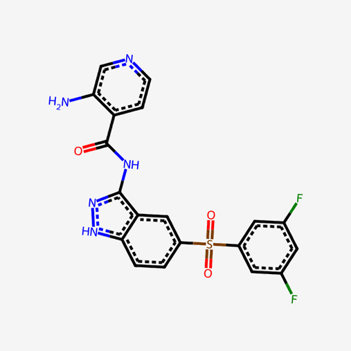 Nc1cnccc1C(=O)Nc1n[nH]c2ccc(S(=O)(=O)c3cc(F)cc(F)c3)cc12